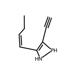 C#Cc1[pH][nH]c1/C=C\CC